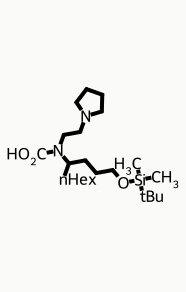 CCCCCCC(CCCO[Si](C)(C)C(C)(C)C)N(CCN1CCCC1)C(=O)O